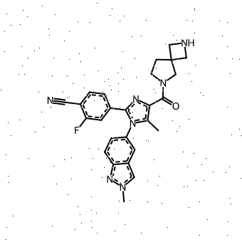 Cc1c(C(=O)N2CCC3(CNC3)C2)nc(-c2ccc(C#N)c(F)c2)n1-c1ccc2nn(C)cc2c1